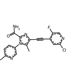 Cc1ccc(-n2c(C(N)=O)nc(C#Cc3cc(Cl)ncc3F)c2C)cn1